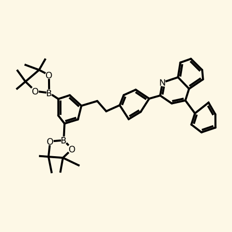 CC1(C)OB(c2cc(CCc3ccc(-c4cc(-c5ccccc5)c5ccccc5n4)cc3)cc(B3OC(C)(C)C(C)(C)O3)c2)OC1(C)C